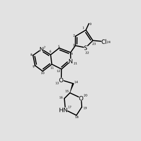 Cc1cc(-c2cc3ncccc3c(OC[C@@H]3CNCCO3)n2)sc1Cl